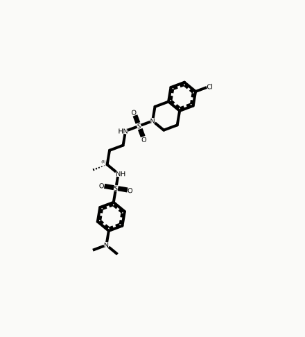 C[C@H](CCNS(=O)(=O)N1CCc2cc(Cl)ccc2C1)NS(=O)(=O)c1ccc(N(C)C)cc1